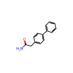 NC(=O)Cc1ccc(-c2[c]cccc2)cc1